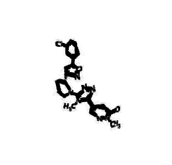 Cn1c(-c2cnn(C)c(=O)c2)nnc1N1CCC[C@@H]1c1cc(-c2cccc(Cl)c2)on1